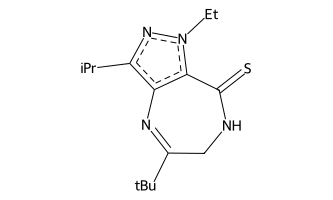 CCn1nc(C(C)C)c2c1C(=S)NCC(C(C)(C)C)=N2